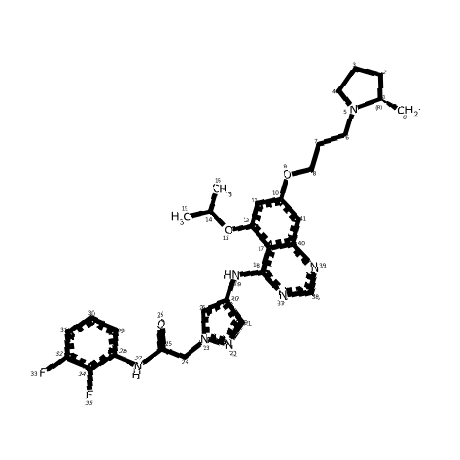 [CH2][C@@H]1CCCN1CCCOc1cc(OC(C)C)c2c(Nc3cnn(CC(=O)Nc4cccc(F)c4F)c3)ncnc2c1